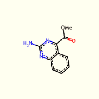 COC(=O)c1nc(N)nc2ccccc12